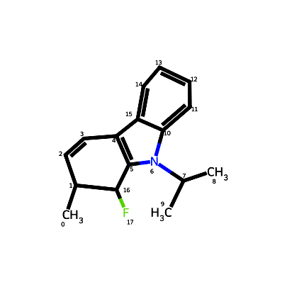 CC1C=Cc2c(n(C(C)C)c3ccccc23)C1F